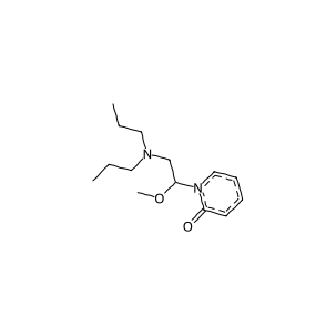 CCCN(CCC)CC(OC)n1ccccc1=O